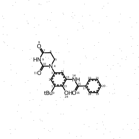 CC(C)(C)c1cc(N2CCC(=O)NC2=O)cc(NC(=O)c2ccccc2)c1O